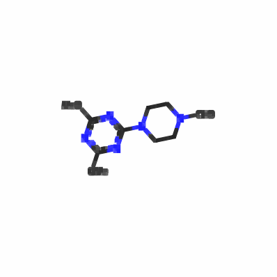 COc1nc(OC)nc(N2CCN(C=O)CC2)n1